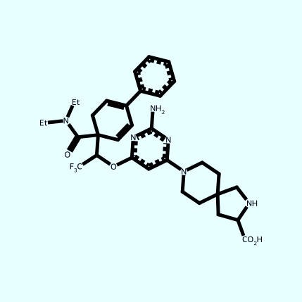 CCN(CC)C(=O)C1(C(Oc2cc(N3CCC4(CC3)CNC(C(=O)O)C4)nc(N)n2)C(F)(F)F)C=CC(c2ccccc2)=CC1